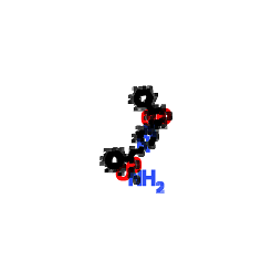 NC(=O)OC(CCN1CCN(C2=COC=C(C3=CC=CCC3)O2)CC1)c1ccccc1